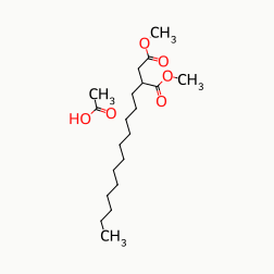 CC(=O)O.CCCCCCCCCCCCC(CC(=O)OC)C(=O)OC